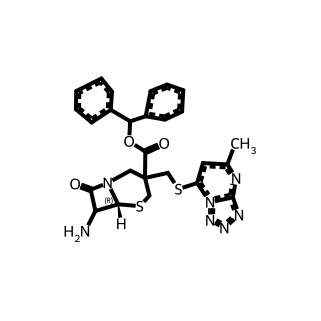 Cc1cc(SCC2(C(=O)OC(c3ccccc3)c3ccccc3)CS[C@@H]3C(N)C(=O)N3C2)n2nnnc2n1